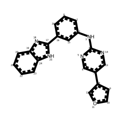 c1cc(Nc2ncc(-c3ccoc3)cn2)cc(-c2nc3ccccc3[nH]2)c1